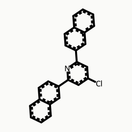 Clc1cc(-c2ccc3ccccc3c2)nc(-c2ccc3ccccc3c2)c1